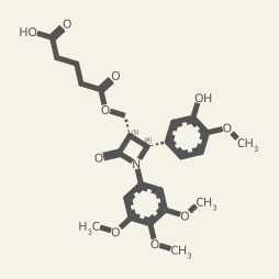 COc1ccc([C@H]2[C@@H](COC(=O)CCCC(=O)O)C(=O)N2c2cc(OC)c(OC)c(OC)c2)cc1O